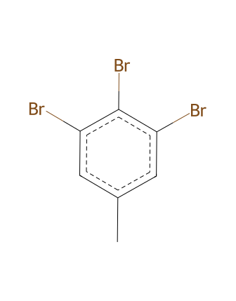 Cc1cc(Br)c(Br)c(Br)c1